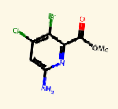 COC(=O)c1nc(N)cc(Cl)c1Br